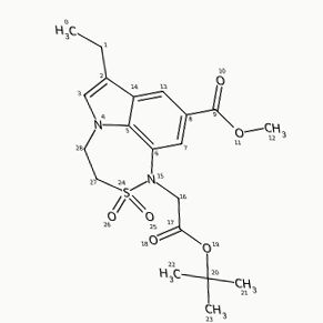 CCc1cn2c3c(cc(C(=O)OC)cc13)N(CC(=O)OC(C)(C)C)S(=O)(=O)CC2